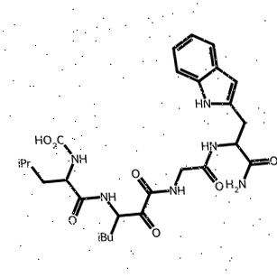 CCC(C)C(NC(=O)C(CC(C)C)NC(=O)O)C(=O)C(=O)NCC(=O)NC(Cc1cc2ccccc2[nH]1)C(N)=O